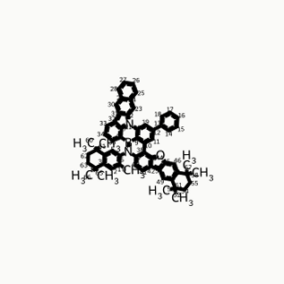 Cc1cc2c(cc1N1B3c4c(cc(-c5ccccc5)cc4-n4c5cc6ccccc6cc5c5cccc3c54)-c3c1ccc1c3oc3cc4c(cc31)C(C)(C)CCC4(C)C)C(C)(C)CCC2(C)C